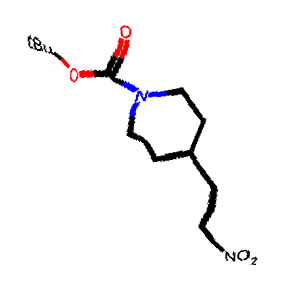 CC(C)(C)OC(=O)N1CCC(CC[N+](=O)[O-])CC1